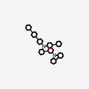 c1ccc(-c2ccc(-c3ccc(N(c4ccc(-c5ccccc5)cc4)c4ccccc4-c4cccc(-n5c6ccccc6c6ccccc65)c4)cc3)cc2)cc1